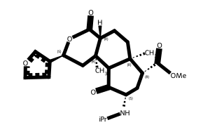 COC(=O)[C@@H]1C[C@H](NC(C)C)C(=O)C2[C@@]1(C)CC[C@H]1C(=O)O[C@H](c3ccoc3)C[C@]21C